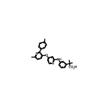 Cc1ccc(-c2nc(C)ccc2Oc2ccnc(Nc3cccc(C(C)(C)C(=O)O)c3)c2)cc1